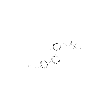 CCC[C@H](C)Oc1ccc(-c2nc(O)nc(-c3cc(CNC(=O)C4(C(F)(F)F)CCCC4)ccc3Cl)n2)cn1